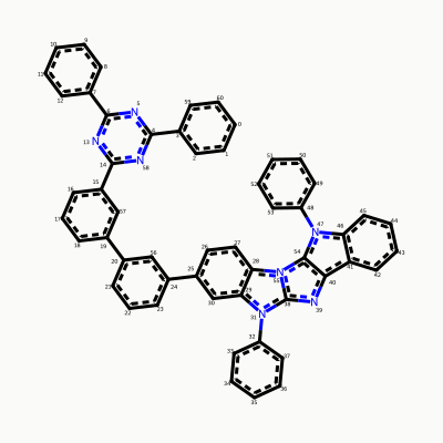 c1ccc(-c2nc(-c3ccccc3)nc(-c3cccc(-c4cccc(-c5ccc6c(c5)n(-c5ccccc5)c5nc7c8ccccc8n(-c8ccccc8)c7n65)c4)c3)n2)cc1